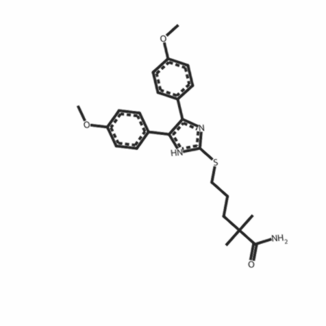 COc1ccc(-c2nc(SCCCC(C)(C)C(N)=O)[nH]c2-c2ccc(OC)cc2)cc1